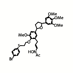 COc1cc(C2CCC(c3cc(OC)c(OC)c(OC)c3)O2)cc(CC=CN(O)C(C)=O)c1OCCSc1ccc(Br)cc1